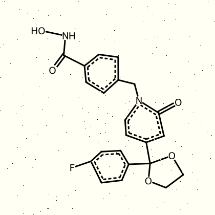 O=C(NO)c1ccc(Cn2ccc(C3(c4ccc(F)cc4)OCCO3)cc2=O)cc1